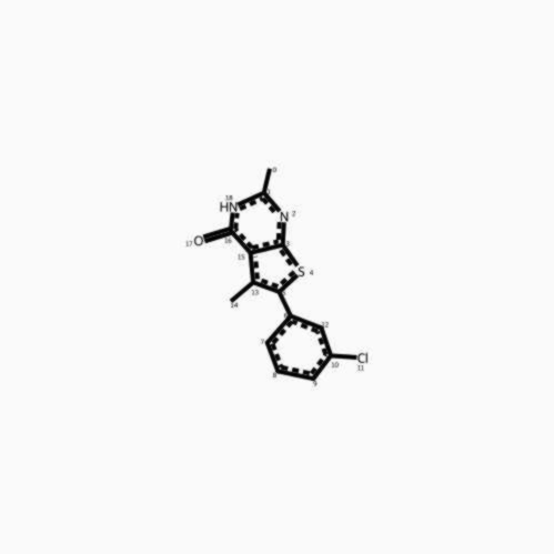 Cc1nc2sc(-c3cccc(Cl)c3)c(C)c2c(=O)[nH]1